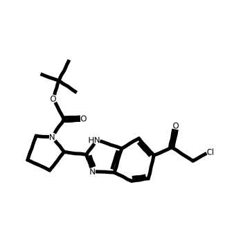 CC(C)(C)OC(=O)N1CCCC1c1nc2ccc(C(=O)CCl)cc2[nH]1